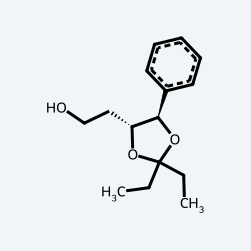 CCC1(CC)O[C@H](c2ccccc2)[C@@H](CCO)O1